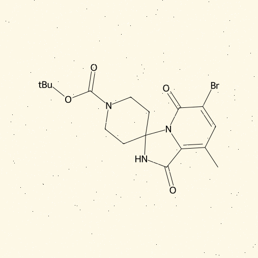 Cc1cc(Br)c(=O)n2c1C(=O)NC21CCN(C(=O)OC(C)(C)C)CC1